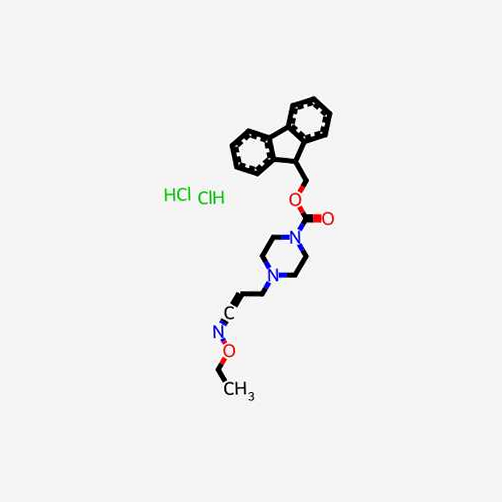 CCON=C=CCN1CCN(C(=O)OCC2c3ccccc3-c3ccccc32)CC1.Cl.Cl